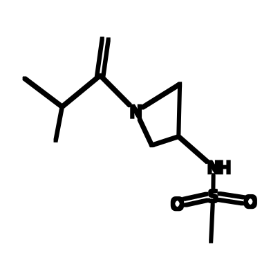 C=C(C(C)C)N1CC(NS(C)(=O)=O)C1